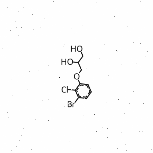 OCC(O)COc1cccc(Br)c1Cl